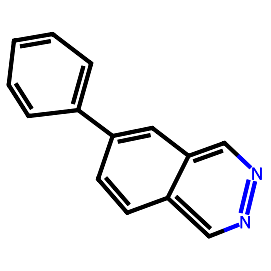 c1ccc(-c2ccc3cnncc3c2)cc1